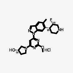 COc1nc(N2CC[C@H](O)C2)cc(-n2ncc3cc(C)c([C@H]4CCNC[C@H]4F)cc32)n1.Cl